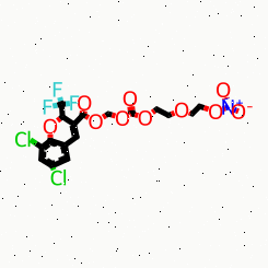 O=C(OCCOCCO[N+](=O)[O-])OCOC(=O)C1=Cc2cc(Cl)cc(Cl)c2OC1C(F)(F)F